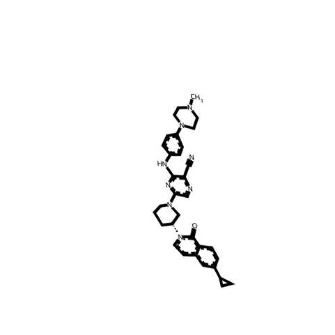 CN1CCN(c2ccc(Nc3nc(N4CCC[C@@H](n5ccc6cc(C7CC7)ccc6c5=O)C4)cnc3C#N)cc2)CC1